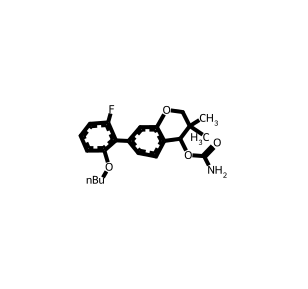 CCCCOc1cccc(F)c1-c1ccc2c(c1)OCC(C)(C)C2OC(N)=O